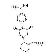 N=C(N)c1ccc(N2C(=O)CN(C3CCCCN3CC(=O)O)CC2=O)cc1